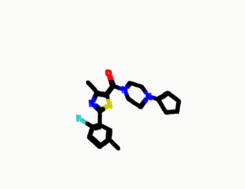 Cc1ccc(F)c(-c2nc(C)c(C(=O)N3CCN(C4CCCC4)CC3)s2)c1